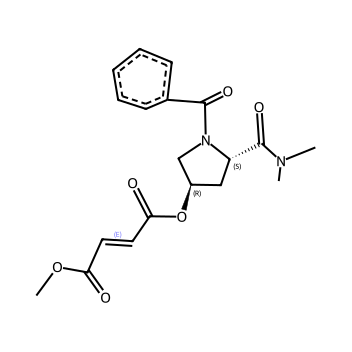 COC(=O)/C=C/C(=O)O[C@@H]1C[C@@H](C(=O)N(C)C)N(C(=O)c2ccccc2)C1